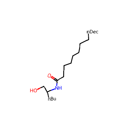 CCCCCCCCCCCCCCCCCC(=O)NC(CO)CCCC